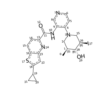 C[C@H]1CN(c2ccncc2NC(=O)c2ccc3sc(C4CC4)cc3n2)C[C@@H](I)[C@@H]1O